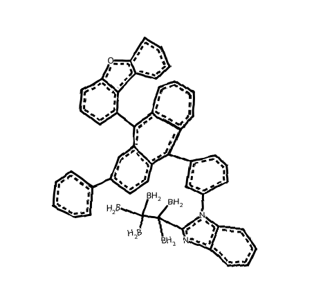 BC(B)(B)C(B)(B)c1nc2ccccc2n1-c1cccc(-c2c3ccccc3c(-c3cccc4oc5ccccc5c34)c3cc(-c4ccccc4)ccc23)c1